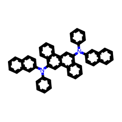 c1ccc(N(c2ccc3ccccc3c2)c2cc3c4ccccc4c(N(c4ccccc4)c4ccc5ccccc5c4)cc3c3ccccc23)cc1